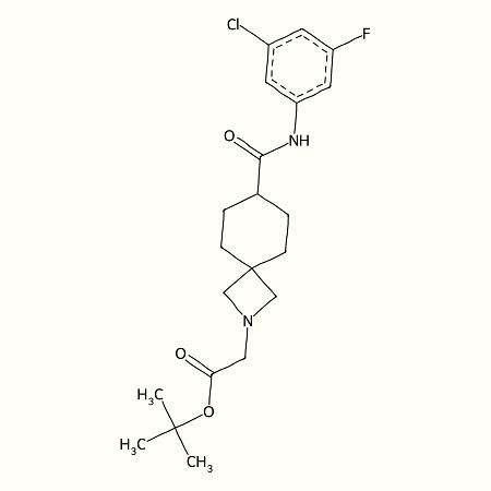 CC(C)(C)OC(=O)CN1CC2(CCC(C(=O)Nc3cc(F)cc(Cl)c3)CC2)C1